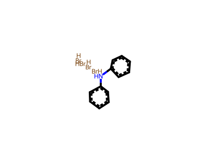 Br.Br.Br.Br.c1ccc(Nc2ccccc2)cc1